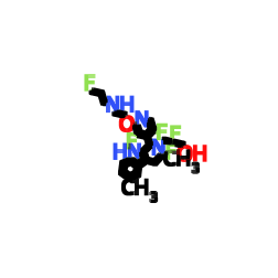 Cc1ccc2[nH]c3c(c2c1)C[C@@H](C)N(CC(F)(F)CO)C3c1c(F)cnc(OCCNCCCF)c1F